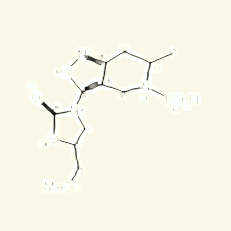 COCC1CN(c2onc3c2CN(C(=O)O)C(C)C3)C(=O)O1